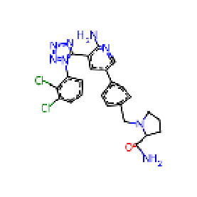 NC(=O)C1CCCN1Cc1ccc(-c2cnc(N)c(-c3nnnn3-c3cccc(Cl)c3Cl)c2)cc1